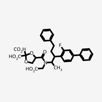 CC(C(CCc1ccccc1)c1ccc(-c2ccccc2)cc1F)N(CC(=O)O)C(=O)C1COC(C(=O)O)(C(=O)O)O1